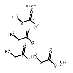 O=C([O-])CO.O=C([O-])CO.O=C([O-])CO.O=C([O-])CO.[Ca+2].[Ca+2]